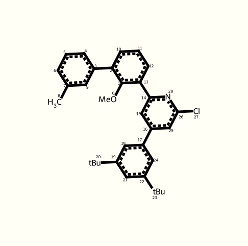 COc1c(-c2cccc(C)c2)cccc1-c1cc(-c2cc(C(C)(C)C)cc(C(C)(C)C)c2)cc(Cl)n1